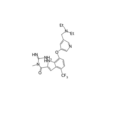 CCN(CC)Cc1cncc(Oc2ccc(C(F)(F)F)c3cc(C(=O)N(C)C(=N)N)[nH]c23)c1